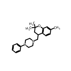 Cc1ccc2c(c1)OC(C)(C)CC2CN1CCN(c2ccccc2)CC1